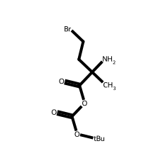 CC(C)(C)OC(=O)OC(=O)C(C)(N)CCBr